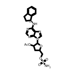 CC(=O)OC1CC(COS(N)(=O)=O)OC1n1cnc2c(N[C@H]3CCc4ccccc43)ncnc21